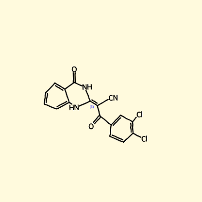 N#C/C(C(=O)c1ccc(Cl)c(Cl)c1)=C1\NC(=O)c2ccccc2N1